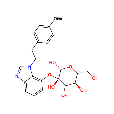 COc1ccc(CCn2cnc3cccc(O[C@]4(O)[C@H](O)O[C@H](CO)[C@@H](O)[C@@H]4O)c32)cc1